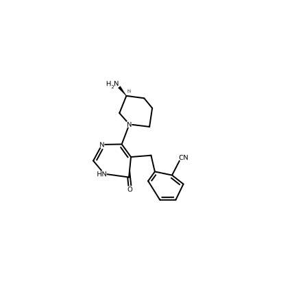 N#Cc1ccccc1Cc1c(N2CCC[C@H](N)C2)nc[nH]c1=O